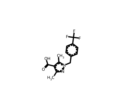 Cc1nn(Cc2ccc(C(F)(F)F)cc2)c(C)c1C(=O)O